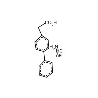 CCCN.Cl.O=C(O)Cc1ccc(-c2ccccc2)cc1